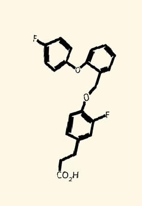 O=C(O)CCc1ccc(OCc2ccccc2Oc2ccc(F)cc2)c(F)c1